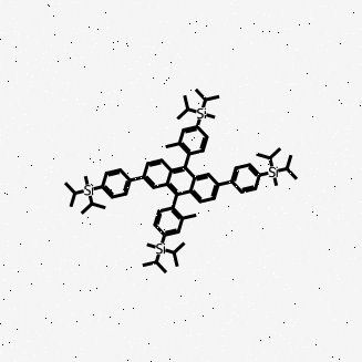 Cc1cc([Si](C)(C(C)C)C(C)C)ccc1-c1c2ccc(-c3ccc([Si](C)(C(C)C)C(C)C)cc3)cc2c(-c2ccc([Si](C)(C(C)C)C(C)C)cc2C)c2ccc(-c3ccc([Si](C)(C(C)C)C(C)C)cc3)cc12